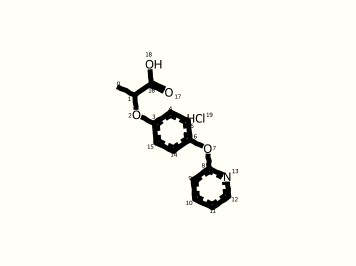 CC(Oc1ccc(Oc2ccccn2)cc1)C(=O)O.Cl